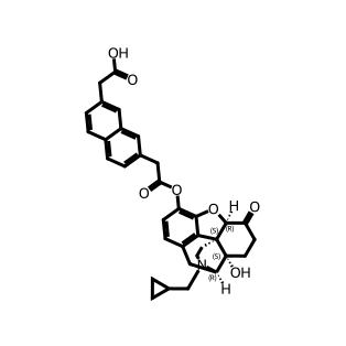 O=C(O)Cc1ccc2ccc(CC(=O)Oc3ccc4c5c3O[C@H]3C(=O)CC[C@@]6(O)[C@@H](C4)N(CC4CC4)CC[C@]536)cc2c1